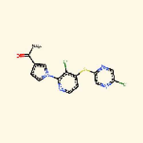 CNC(=O)c1ccn(-c2nccc(Sc3cnc(Cl)cn3)c2Cl)c1